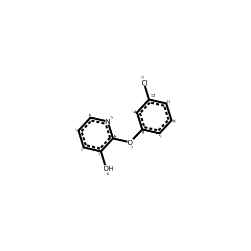 Oc1cccnc1Oc1cccc(Cl)c1